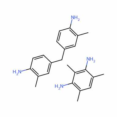 Cc1cc(C)c(N)c(C)c1N.Cc1cc(Cc2ccc(N)c(C)c2)ccc1N